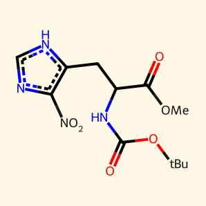 COC(=O)C(Cc1[nH]cnc1[N+](=O)[O-])NC(=O)OC(C)(C)C